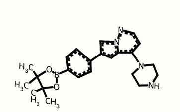 CC1(C)OB(c2ccc(-c3cc4c(N5CCNCC5)ccnn4c3)cc2)OC1(C)C